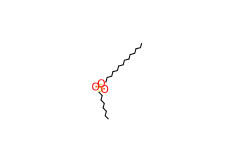 CCCCCCCCCCCCCCOS(=O)(=O)CCCCCCCC